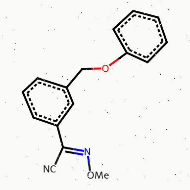 CON=C(C#N)c1cccc(COc2ccccc2)c1